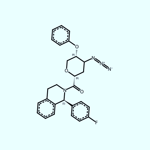 [N-]=[N+]=NC1C[C@H](C(=O)N2CCc3ccccc3[C@@H]2c2ccc(F)cc2)OC[C@@H]1Oc1ccccc1